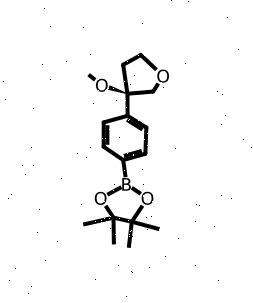 CO[C@@]1(c2ccc(B3OC(C)(C)C(C)(C)O3)cc2)CCOC1